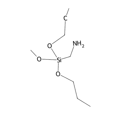 CCCO[Si](CN)(OC)OCCC